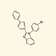 Brc1ccc(-n2c(-c3ccc(-c4ccccc4)cc3)nc3ccccc32)cc1